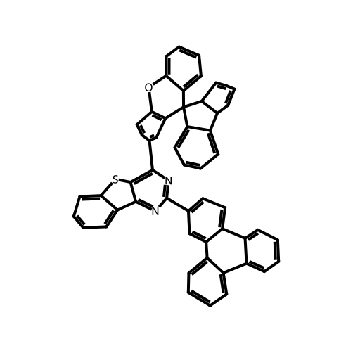 C1=CC2c3ccccc3C3(c4ccccc4Oc4ccc(-c5nc(-c6ccc7c8ccccc8c8ccccc8c7c6)nc6c5sc5ccccc56)cc43)C2C=C1